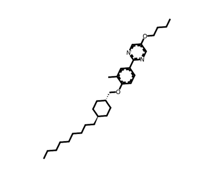 CCCCCCCCC[C@H]1CC[C@H](COc2ccc(-c3ncc(OCCCC)cn3)cc2C)CC1